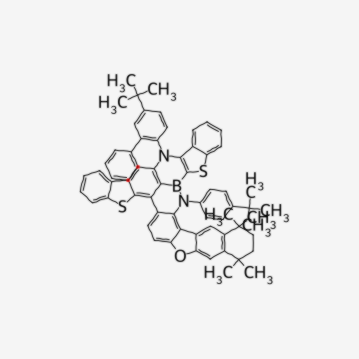 CC(C)(C)c1ccc(N2B3c4sc5ccccc5c4N(c4ccc(C(C)(C)C)cc4-c4ccccc4)c4cc5c(sc6ccccc65)c(c43)-c3ccc4oc5cc6c(cc5c4c32)C(C)(C)CCC6(C)C)cc1